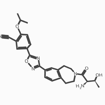 CC(C)Oc1ccc(-c2nc(-c3ccc4c(c3)CCN(C(=O)[C@H](N)[C@H](C)O)CC4)no2)cc1C#N